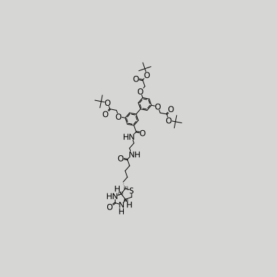 CC(C)(C)OC(=O)COc1cc(OCC(=O)OC(C)(C)C)cc(-c2cc(OCC(=O)OC(C)(C)C)cc(C(=O)NCCNC(=O)CCCC[C@@H]3SC[C@@H]4NC(=O)N[C@@H]43)c2)c1